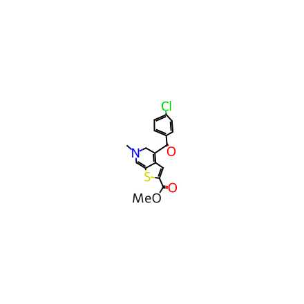 COC(=O)c1cc2c(s1)=CN(C)CC=2C(=O)c1ccc(Cl)cc1